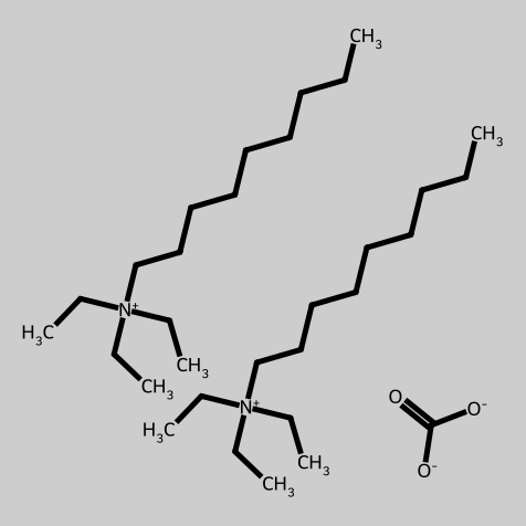 CCCCCCCCC[N+](CC)(CC)CC.CCCCCCCCC[N+](CC)(CC)CC.O=C([O-])[O-]